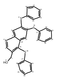 OCc1cnc2cc(Sc3ccccc3)c(Sc3ccccc3)cc2c1Sc1ccccc1